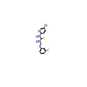 Fc1cccc(CCNC(=S)Nc2ccc(Br)cn2)c1